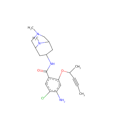 CC#CC(C)Oc1cc(N)c(Cl)cc1C(=O)NC1CC2CN(C)CC(C1)N2C